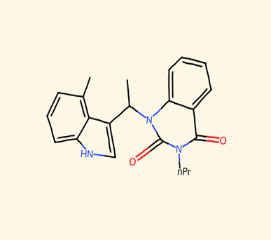 CCCn1c(=O)c2ccccc2n(C(C)c2c[nH]c3cccc(C)c23)c1=O